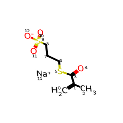 C=C(C)C(=O)SCCCS(=O)(=O)[O-].[Na+]